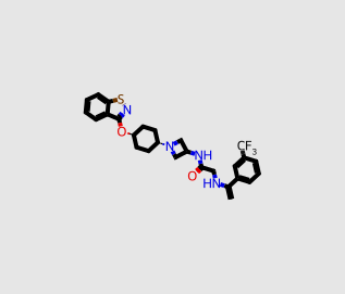 C=C(NCC(=O)NC1CN([C@H]2CC[C@@H](Oc3nsc4ccccc34)CC2)C1)c1cccc(C(F)(F)F)c1